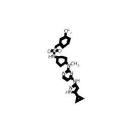 CN(c1nccc(Nc2cc(C3CC3)[nH]n2)n1)C1CCC(NS(=O)(=O)Cc2cccc(C(F)(F)F)c2)CC1